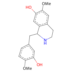 COc1ccc(CC2NCCc3cc(OC)c(O)cc32)cc1O